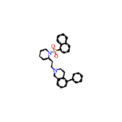 O=S(=O)(c1cccc2ccccc12)N1CCCCC1CCN1CCc2c(cccc2-c2ccccc2)C1